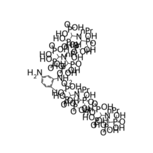 CCCN(C(P(=O)(O)O)P(=O)(O)O)C(P(=O)(O)O)P(=O)(O)O.CCCN(C(P(=O)(O)O)P(=O)(O)O)C(P(=O)(O)O)P(=O)(O)O.CCCN(C(P(=O)(O)O)P(=O)(O)O)C(P(=O)(O)O)P(=O)(O)O.CCCN(C(P(=O)(O)O)P(=O)(O)O)C(P(=O)(O)O)P(=O)(O)O.Cc1ccc(N)cc1N